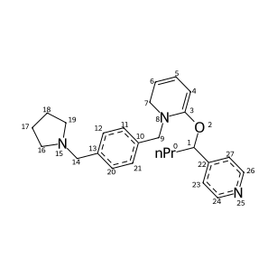 CCCC(OC1=CC=CCN1Cc1ccc(CN2CCCC2)cc1)c1ccncc1